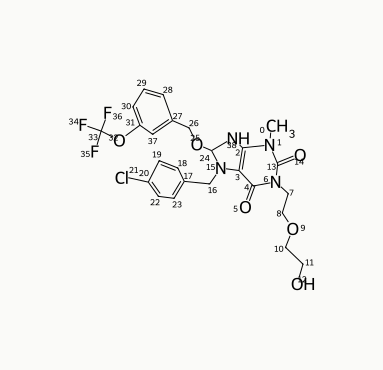 Cn1c2c(c(=O)n(CCOCCO)c1=O)N(Cc1ccc(Cl)cc1)C(OCc1cccc(OC(F)(F)F)c1)N2